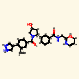 COc1cc(C(=O)N2CC(O)C[C@@H]2c2cccc(C(=O)NCC3=NC=CCO3)c2)ccc1-c1cn[nH]c1